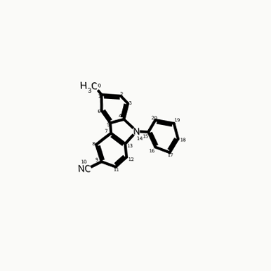 Cc1ccc2c(c1)c1cc(C#N)ccc1n2-c1ccccc1